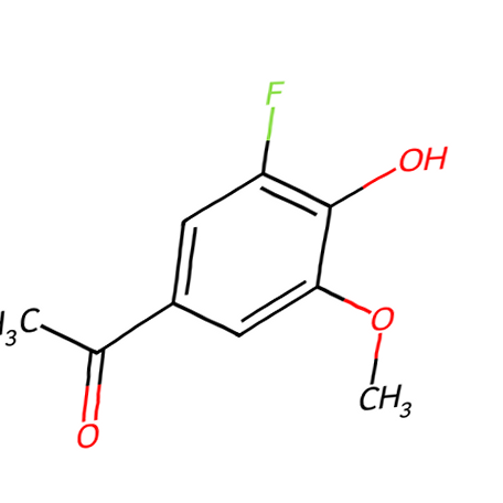 COc1cc(C(C)=O)cc(F)c1O